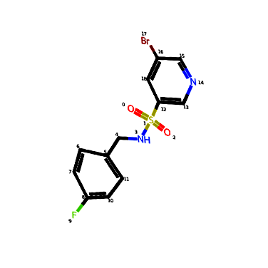 O=S(=O)(NCc1ccc(F)cc1)c1cncc(Br)c1